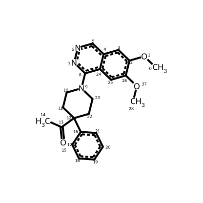 COc1cc2cnnc(N3CCC(C(C)=O)(c4ccccc4)CC3)c2cc1OC